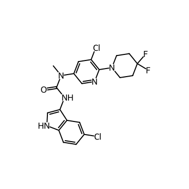 CN(C(=O)Nc1c[nH]c2ccc(Cl)cc12)c1cnc(N2CCC(F)(F)CC2)c(Cl)c1